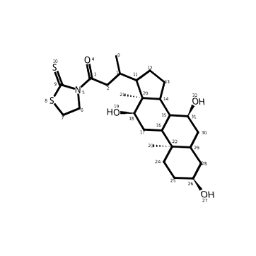 CC(CC(=O)N1CCSC1=S)C1CCC2C3C(C[C@@H](O)[C@@]12C)[C@]1(C)CC[C@H](O)CC1C[C@@H]3O